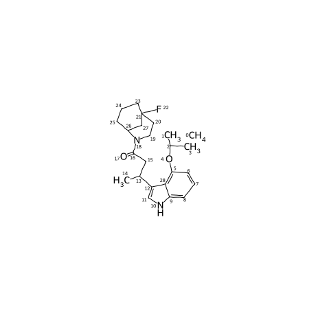 C.CC(C)Oc1cccc2[nH]cc(C(C)CC(=O)N3CCC4(F)CCCC3C4)c12